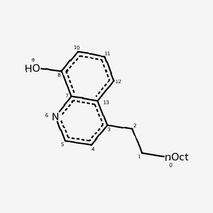 CCCCCCCCCCc1ccnc2c(O)cccc12